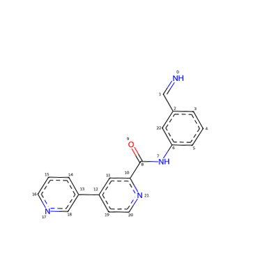 N=Cc1cccc(NC(=O)c2cc(-c3cccnc3)ccn2)c1